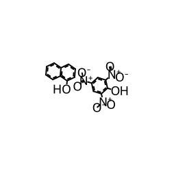 O=[N+]([O-])c1cc([N+](=O)[O-])c(O)c([N+](=O)[O-])c1.Oc1cccc2ccccc12